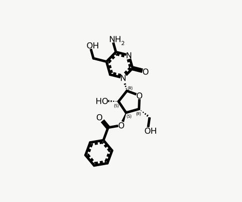 Nc1nc(=O)n([C@@H]2O[C@H](CO)[C@@H](OC(=O)c3ccccc3)[C@@H]2O)cc1CO